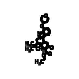 CCOC(=O)c1cn2c(cc1=O)-c1c3cccc(OC4CCOCC4)c3nn1CC2C(C)(C)C